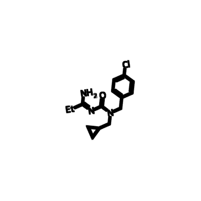 CC/C(N)=N/C(=O)N(Cc1ccc(Cl)cc1)CC1CC1